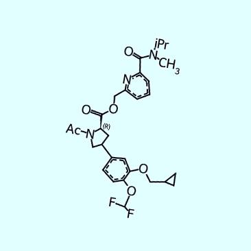 CC(=O)N1CC(c2ccc(OC(F)F)c(OCC3CC3)c2)C[C@@H]1C(=O)OCc1cccc(C(=O)N(C)C(C)C)n1